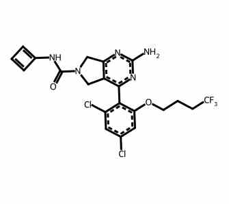 Nc1nc2c(c(-c3c(Cl)cc(Cl)cc3OCCCC(F)(F)F)n1)CN(C(=O)NC1=CC=C1)C2